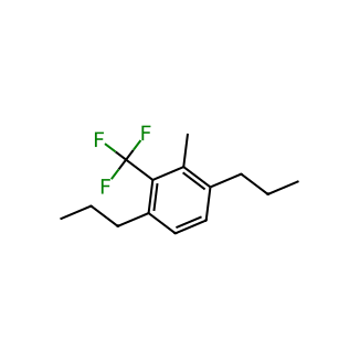 CCCc1ccc(CCC)c(C(F)(F)F)c1C